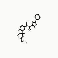 Cc1nc(-c2cnccn2)sc1C(=O)Nc1ccc(F)c(C2(C)CCSC(N)=N2)c1